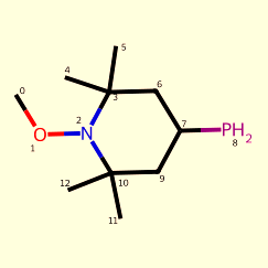 CON1C(C)(C)CC(P)CC1(C)C